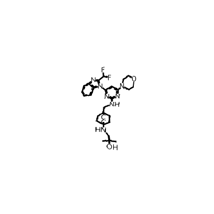 CC(C)(O)CNC12CCC(CNc3nc(N4CCOCC4)cc(-n4c(C(F)F)nc5ccccc54)n3)(CC1)CC2